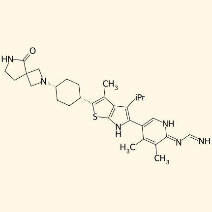 Cc1c(-c2[nH]c3sc([C@H]4CC[C@@H](N5CC6(CCNC6=O)C5)CC4)c(C)c3c2C(C)C)c[nH]/c(=N\C=N)c1C